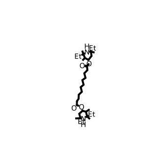 CCC1(C)CC(OC(=O)CCCCCCCCCCC(=O)OC2CC(C)(CC)NC(C)(CC)C2C)C(C)C(C)(CC)N1